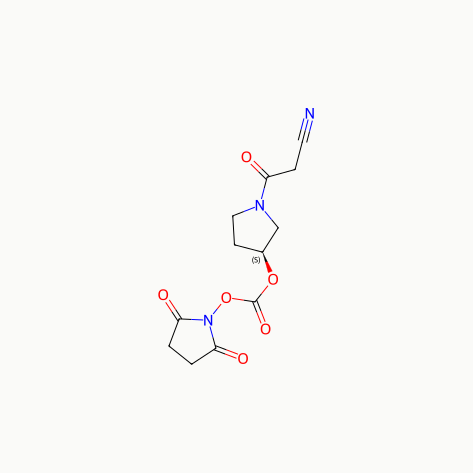 N#CCC(=O)N1CC[C@H](OC(=O)ON2C(=O)CCC2=O)C1